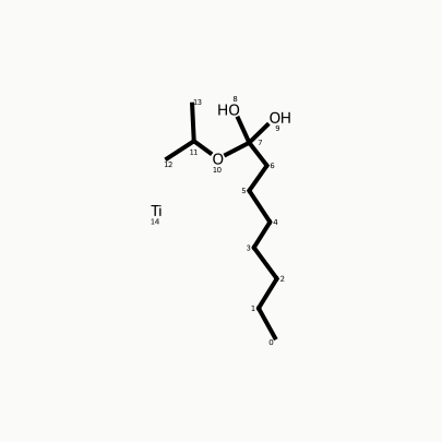 CCCCCCCC(O)(O)OC(C)C.[Ti]